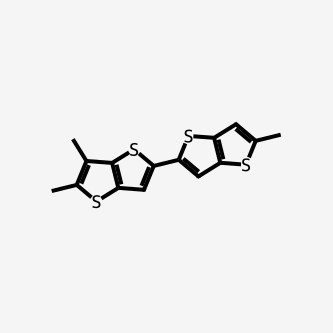 Cc1cc2sc(-c3cc4sc(C)c(C)c4s3)cc2s1